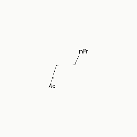 [CH2]C(=O)C=CCCC